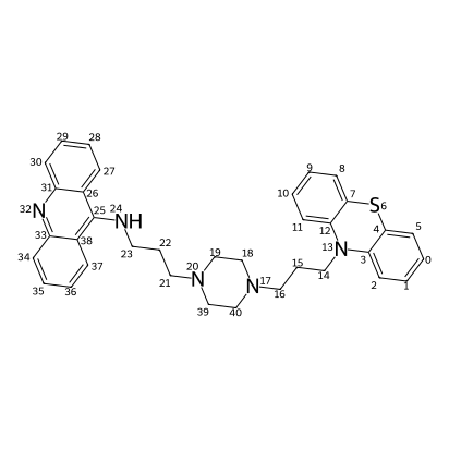 c1ccc2c(c1)Sc1ccccc1N2CCCN1CCN(CCCNc2c3ccccc3nc3ccccc23)CC1